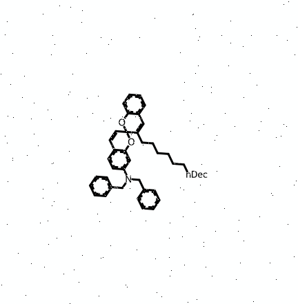 CCCCCCCCCCCCCCCCC1=Cc2ccccc2OC12C=Cc1ccc(N(Cc3ccccc3)Cc3ccccc3)cc1O2